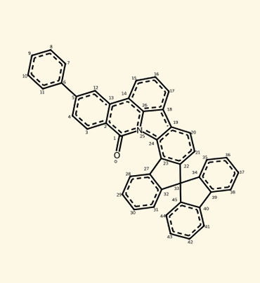 O=c1c2ccc(-c3ccccc3)cc2c2cccc3c4ccc5c(c4n1c23)-c1ccccc1C51c2ccccc2-c2ccccc21